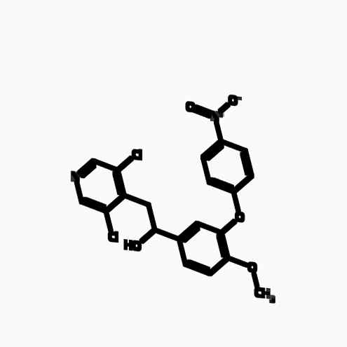 COc1ccc(C(O)Cc2c(Cl)cncc2Cl)cc1Oc1ccc([N+](=O)[O-])cc1